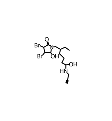 C#CCNC(O)CCCC(CC)CN1C(=O)C(Br)C(Br)C1O